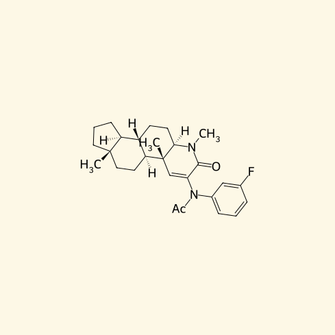 CC(=O)N(C1=C[C@]2(C)[C@H]3CC[C@]4(C)CCC[C@H]4[C@@H]3CC[C@H]2N(C)C1=O)c1cccc(F)c1